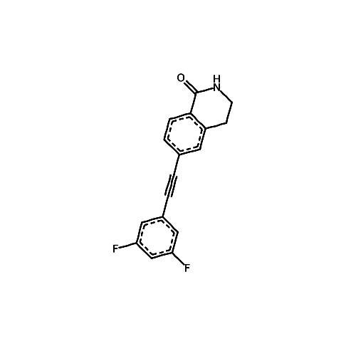 O=C1NCCc2cc(C#Cc3cc(F)cc(F)c3)ccc21